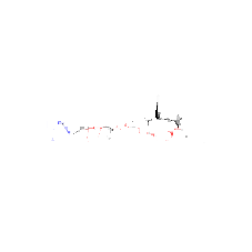 CC(=O)OCC1OC(OCCOCCOCCN)C(C)C(C)C1C